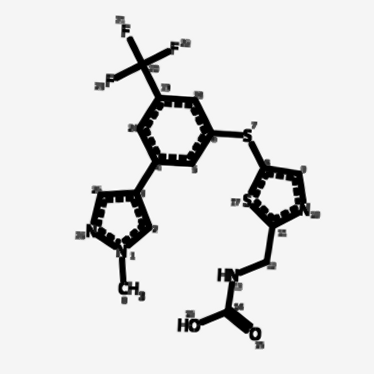 Cn1cc(-c2cc(Sc3cnc(CNC(=O)O)s3)cc(C(F)(F)F)c2)cn1